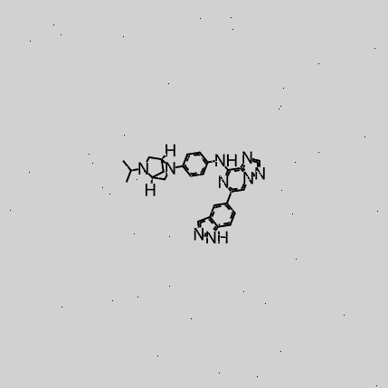 CC(C)N1C[C@H]2C[C@@H]1CN2c1ccc(Nc2nc(-c3ccc4[nH]ncc4c3)cn3ncnc23)cc1